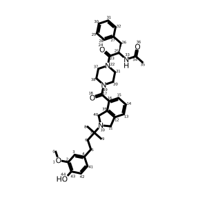 COc1cc(CCC(C)(C)N2Cc3cccc(C(=O)N4CCN(C(=O)[C@@H](Cc5ccccc5)NC(C)=O)CC4)c3C2)ccc1O